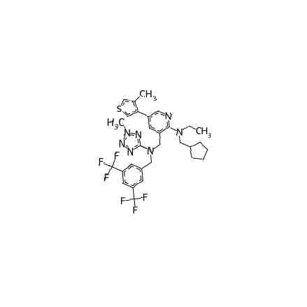 CCN(CC1CCCC1)c1ncc(-c2cscc2C)cc1CN(Cc1cc(C(F)(F)F)cc(C(F)(F)F)c1)c1nnn(C)n1